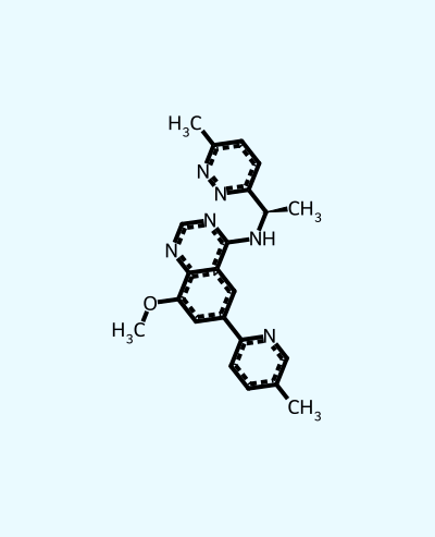 COc1cc(-c2ccc(C)cn2)cc2c(N[C@H](C)c3ccc(C)nn3)ncnc12